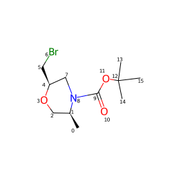 C[C@H]1CO[C@@H](CBr)CN1C(=O)OC(C)(C)C